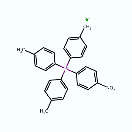 Cc1ccc([P+](c2ccc(C)cc2)(c2ccc(C)cc2)c2ccc([N+](=O)[O-])cc2)cc1.[Br-]